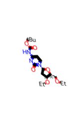 CCOC[C@H]1O[C@@H](n2ccc(NC(=O)OC(C)(C)C)nc2=O)C[C@H]1OCC